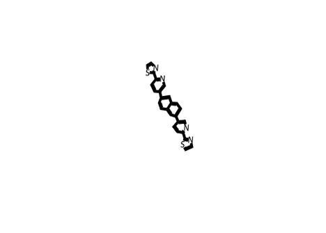 c1csc(-c2ccc(-c3ccc4cc(-c5ccc(-c6nccs6)nc5)ccc4c3)cn2)n1